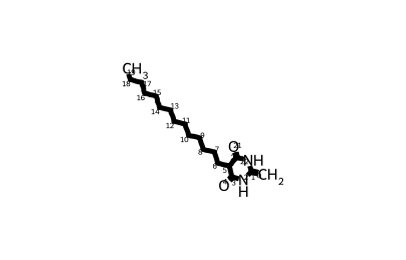 C=C1NC(=O)C(CCCCCCCCCCCCCC)C(=O)N1